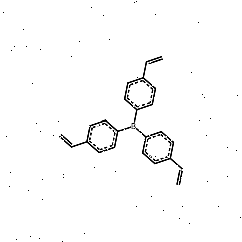 C=Cc1ccc(B(c2ccc(C=C)cc2)c2ccc(C=C)cc2)cc1